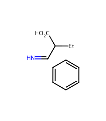 CCC(C=N)C(=O)O.c1ccccc1